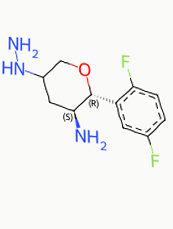 NNC1CO[C@H](c2cc(F)ccc2F)[C@@H](N)C1